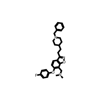 CN(C)Cc1c(Oc2ccc(F)cc2)ccc2c(CCC3CCN(Cc4ccccc4)CC3)noc12